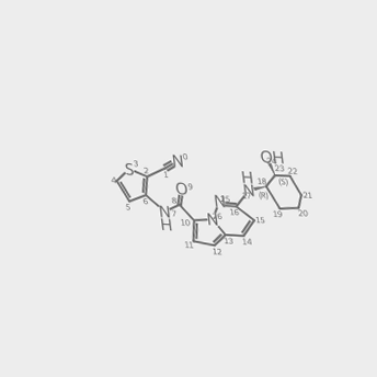 N#Cc1sccc1NC(=O)c1ccc2ccc(N[C@@H]3CCCC[C@@H]3O)nn12